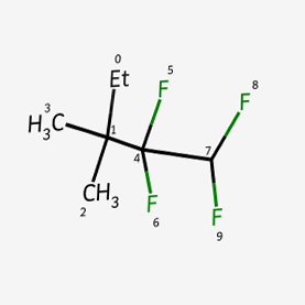 CCC(C)(C)C(F)(F)C(F)F